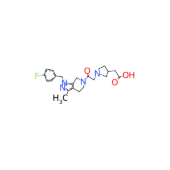 Cc1nn(Cc2ccc(F)cc2)c2c1CCN(C(=O)CN1CCC(CC(=O)O)C1)C2